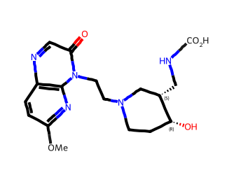 COc1ccc2ncc(=O)n(CCN3CC[C@@H](O)[C@@H](CNC(=O)O)C3)c2n1